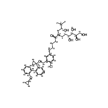 CN(C)CCN(C[C@H](O)[C@@H](O)[C@H](O)[C@H](O)CO)C(=O)CCCSc1ccc(Cl)c(COC2(c3cnccc3-c3ccccc3OC3CC3)CC2)c1